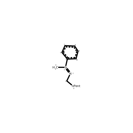 CCCCCCN=[Si](C)c1ccccc1